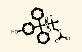 CCC(=O)OCC(F)(F)S(=O)(=O)C(c1ccccc1)(c1ccccc1)c1ccc(O)cc1